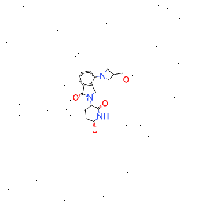 O=CC1CN(c2cccc3c2CN(C2CCC(=O)NC2=O)C3=O)C1